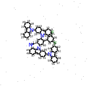 N#Cc1cc(-n2c3ccccc3c3ccc(-n4c5ccccc5c5ccccc54)cc32)c(-c2cc(F)cc(F)c2)cc1-n1c2ccccc2c2ccc(-n3c4ccccc4c4ccccc43)cc21